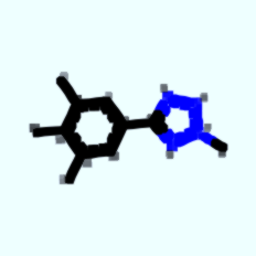 Cc1cc(-c2nnn(C)n2)cc(C)c1C